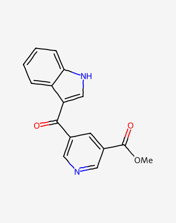 COC(=O)c1cncc(C(=O)c2c[nH]c3ccccc23)c1